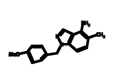 COc1ccc(Cn2ncc3c(N)c(C)ccc32)cc1